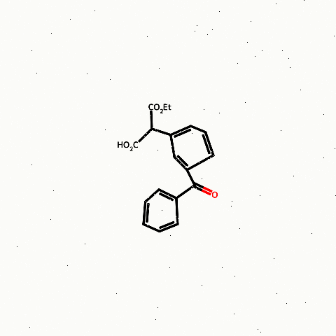 CCOC(=O)C(C(=O)O)c1cccc(C(=O)c2ccccc2)c1